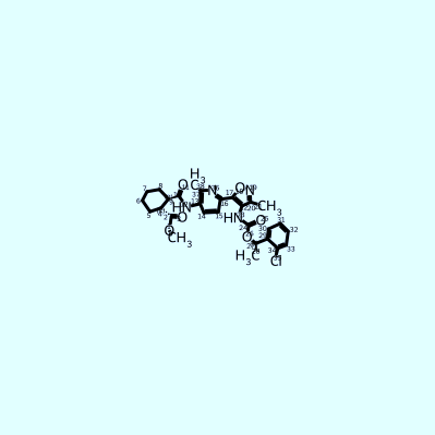 COC(=O)[C@@H]1CCCC[C@H]1C(=O)Nc1ccc(-c2onc(C)c2NC(=O)O[C@H](C)c2ccccc2Cl)nc1C